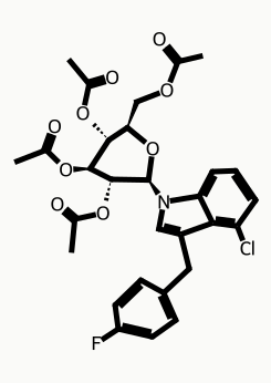 CC(=O)OC[C@H]1O[C@@H](n2cc(Cc3ccc(F)cc3)c3c(Cl)cccc32)[C@H](OC(C)=O)[C@@H](OC(C)=O)[C@@H]1OC(C)=O